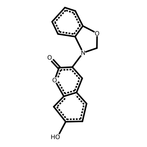 O=c1oc2cc(O)ccc2cc1N1COc2ccccc21